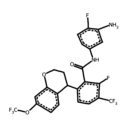 Nc1cc(NC(=O)c2c(C3CCOc4cc(OC(F)(F)F)ccc43)ccc(C(F)(F)F)c2F)ccc1F